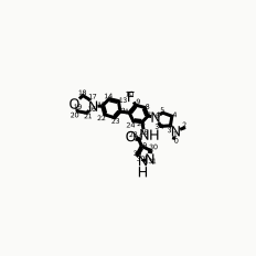 CN(C)C1CCN(c2cc(F)c(-c3ccc(N4CCOCC4)cc3)cc2NC(=O)c2cn[nH]c2)C1